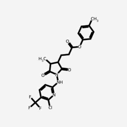 Cc1ccc(OC(=O)CCC2C(=O)N(Nc3ccc(C(F)(F)F)c(Cl)n3)C(=O)C2C)cc1